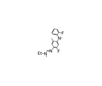 CCN(C)C=Nc1cc(C)c(N(C)c2ccccc2F)cc1F